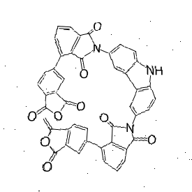 C=C1OC(=O)c2cc(-c3cccc4c3C(=O)N(c3ccc5[nH]c6ccc(N7C(=O)c8cccc(-c9ccc%10c(c9)C(=O)OC%10=O)c8C7=O)cc6c5c3)C4=O)ccc21